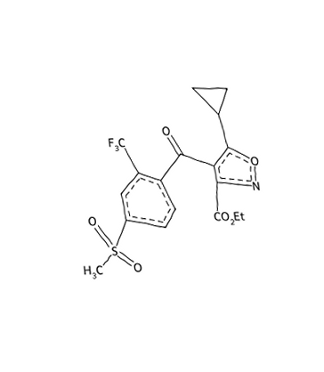 CCOC(=O)c1noc(C2CC2)c1C(=O)c1ccc(S(C)(=O)=O)cc1C(F)(F)F